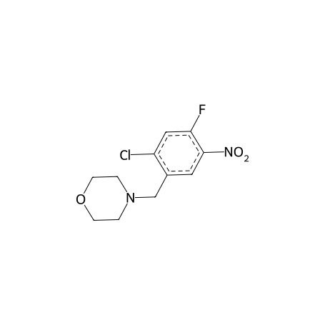 O=[N+]([O-])c1cc(CN2CCOCC2)c(Cl)cc1F